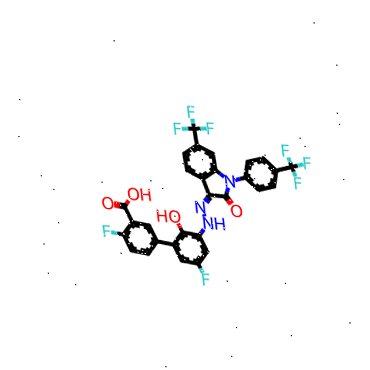 O=C(O)c1cc(-c2cc(F)cc(NN=C3C(=O)N(c4ccc(C(F)(F)F)cc4)c4cc(C(F)(F)F)ccc43)c2O)ccc1F